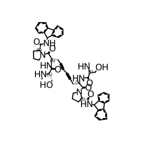 CN[C@@H](CO)C(=O)N[C@@H](CC#CC#CC[C@H](NC(=O)[C@H](CO)NC)C(=O)N1CCC[C@H]1C(=O)NC1c2ccccc2-c2ccccc21)C(=O)N1CCC[C@H]1C(=O)NC1c2ccccc2-c2ccccc21